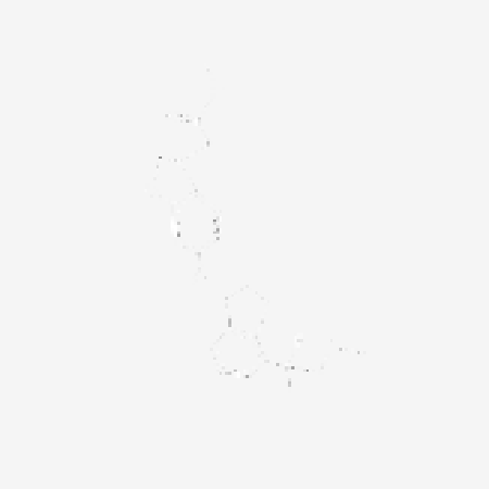 COCC(F)(F)c1cccc2c1CC[C@H]2Oc1ccc2c(c1)OCC2CC(=O)OC